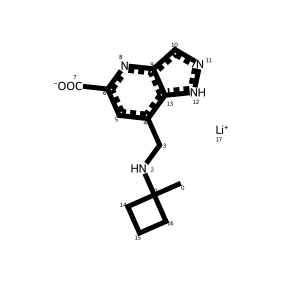 CC1(NCc2cc(C(=O)[O-])nc3cn[nH]c23)CCC1.[Li+]